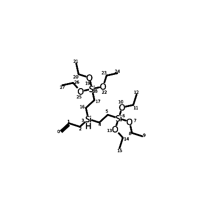 C=CC[SiH](CC[Si](OCC)(OCC)OCC)CC[Si](OCC)(OCC)OCC